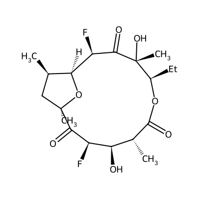 CC[C@H]1OC(=O)[C@H](C)[C@@H](O)[C@@H](F)C(=O)[C@@]2(C)C[C@@H](C)[C@H](O2)[C@@H](F)C(=O)[C@]1(C)O